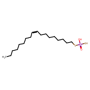 CCCCCCCC/C=C\CCCCCCCCSP(=O)(O)S